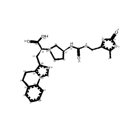 Cc1oc(=O)oc1COC(=O)N[C@H]1CCN([C@@H](Cc2ncn3c2CCc2ccccc2-3)C(=O)O)C1